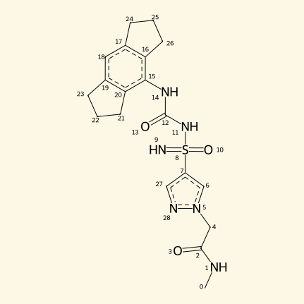 CNC(=O)Cn1cc(S(=N)(=O)NC(=O)Nc2c3c(cc4c2CCC4)CCC3)cn1